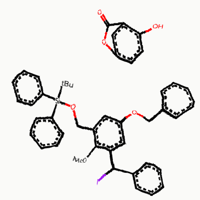 COc1c(CO[Si](c2ccccc2)(c2ccccc2)C(C)(C)C)cc(OCc2ccccc2)cc1C(I)c1ccccc1.O=C1Oc2ccc(O)c1c2